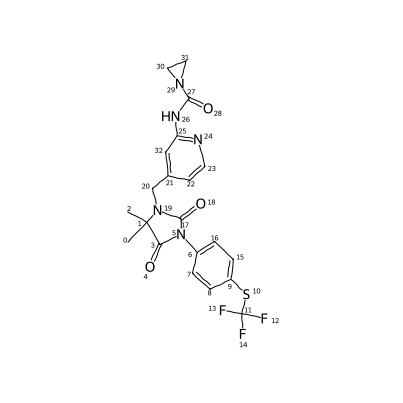 CC1(C)C(=O)N(c2ccc(SC(F)(F)F)cc2)C(=O)N1Cc1ccnc(NC(=O)N2CC2)c1